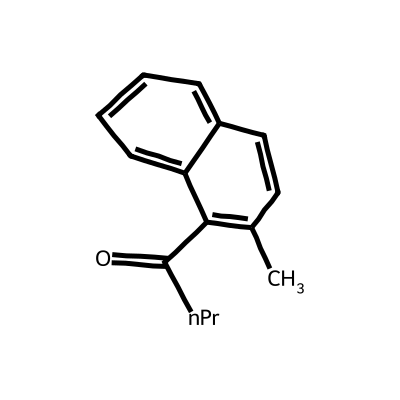 CCCC(=O)c1c(C)ccc2ccccc12